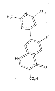 Cc1cc(-c2cc3[nH]cc(C(=O)O)c(=O)c3cc2F)cc(C)n1